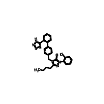 CCCCc1nn(-c2ccccc2Cl)c(=O)n1Cc1ccc(-c2ccccc2-c2nnn[nH]2)cc1